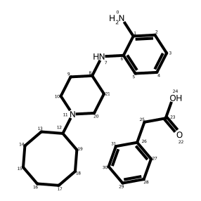 Nc1ccccc1NC1CCN(C2CCCCCCC2)CC1.O=C(O)Cc1ccccc1